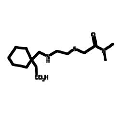 CN(C)C(=O)CSCCNCC1(CC(=O)O)CCCCC1